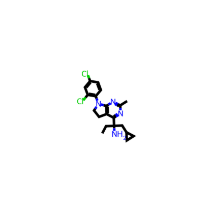 CCC(N)(CC1CC1)c1nc(C)nc2c1CCN2c1ccc(Cl)cc1Cl